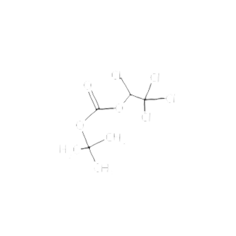 CC(C)(C)OC(=O)OC(Cl)C(Cl)(Cl)Cl